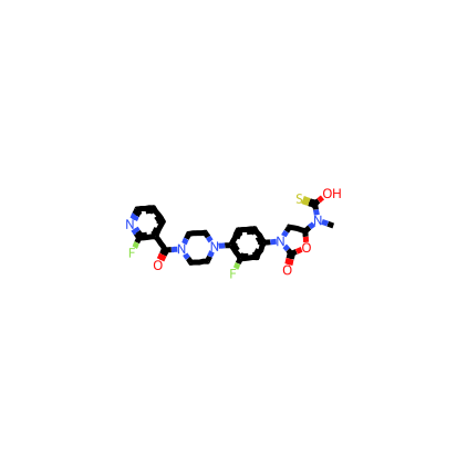 CN(C(O)=S)C1CN(c2ccc(N3CCN(C(=O)c4cccnc4F)CC3)c(F)c2)C(=O)O1